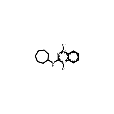 [O-][n+]1nc(NC2CCCCCC2)[n+]([O-])c2ccccc21